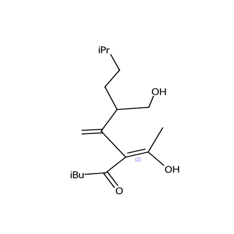 C=C(/C(C(=O)C(C)CC)=C(\C)O)C(CO)CCC(C)C